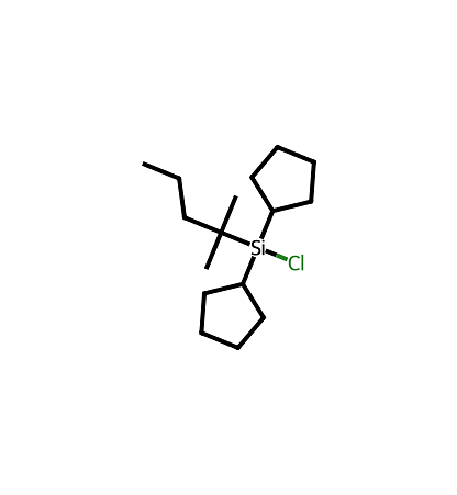 CCCC(C)(C)[Si](Cl)(C1CCCC1)C1CCCC1